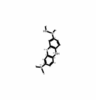 CNN(C)c1ccc2c(c1)Sc1cc(N(C)C)ccc1N2